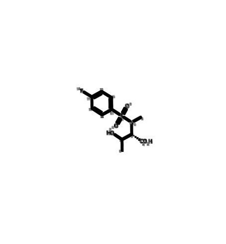 CC(O)[C@@H](C(=O)O)N(C)S(=O)(=O)c1ccc(F)cc1